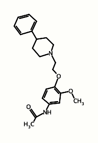 COc1cc(NC(C)=O)ccc1OCCN1CCC(c2ccccc2)CC1